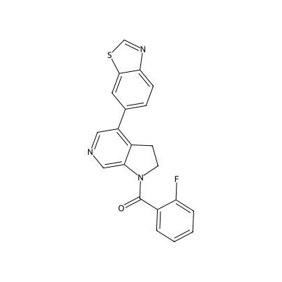 O=C(c1ccccc1F)N1CCc2c(-c3ccc4ncsc4c3)cncc21